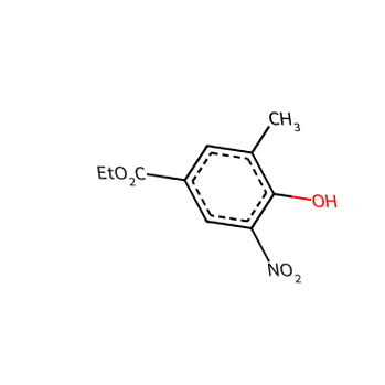 CCOC(=O)c1cc(C)c(O)c([N+](=O)[O-])c1